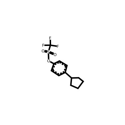 O=S(=O)(Oc1ccc(C2CCCC2)cc1)C(F)(F)F